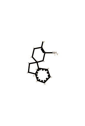 CC1=C(N)CC2(CC1)CCc1ccccc12